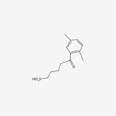 Cc1ccc(C)c(C(=O)CCCCS(=O)(=O)O)c1